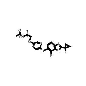 CC(=O)N[C@@H](C)COc1cnc(Oc2ccc3nc(C4(F)CC4)sc3c2F)cn1